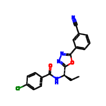 CC[C@@H](NC(=O)c1ccc(Cl)cc1)c1nnc(-c2cccc(C#N)c2)o1